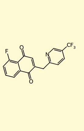 O=C1C(Cc2ccc(C(F)(F)F)cn2)=CC(=O)c2c(F)cccc21